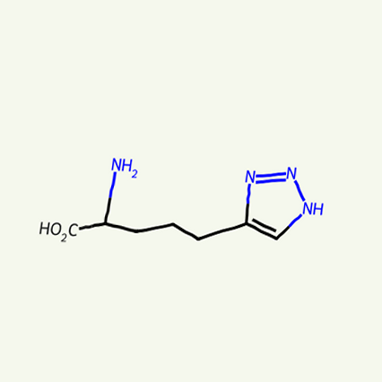 NC(CCCc1c[nH]nn1)C(=O)O